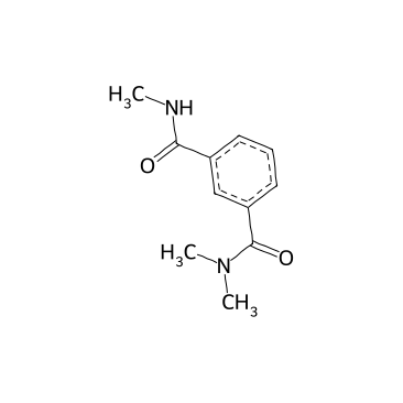 CNC(=O)c1cccc(C(=O)N(C)C)c1